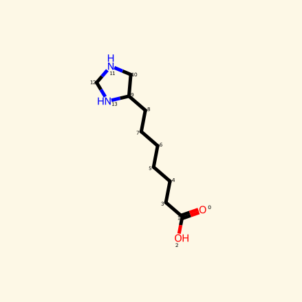 O=C(O)CCCCCCC1CNCN1